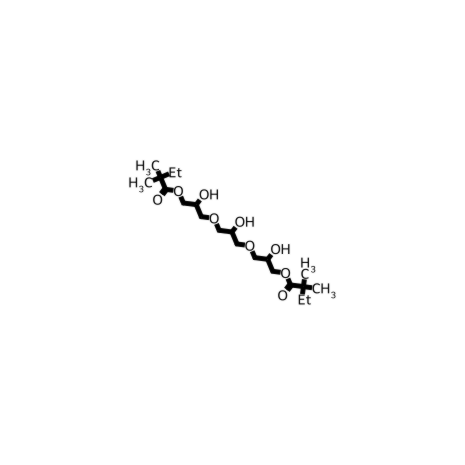 CCC(C)(C)C(=O)OCC(O)COCC(O)COCC(O)COC(=O)C(C)(C)CC